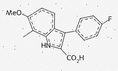 COc1ccc2c(-c3ccc(F)cc3)c(C(=O)O)[nH]c2c1C